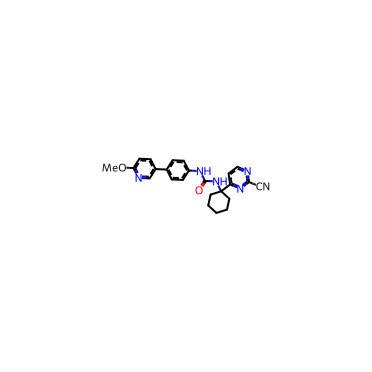 COc1ccc(-c2ccc(NC(=O)NC3(c4ccnc(C#N)n4)CCCCC3)cc2)cn1